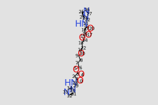 O=C(CC(=O)OCCCCOCCCCOC(=O)CC(=O)NCn1ccnc1)NCn1ccnc1